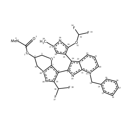 CNC(=O)OC1COc2c(-c3nc4n(Cc5ccccc5)cccc-4c3-c3cn(C)nc3OC(F)F)c(C(F)F)nn2C1